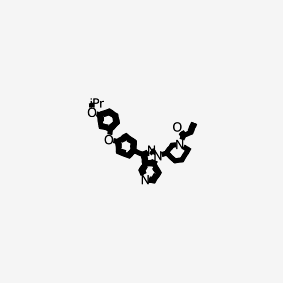 C=CC(=O)N1CCCC(n2nc(-c3ccc(Oc4cccc(OC(C)C)c4)cc3)c3cnccc32)C1